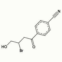 N#Cc1ccc(C(=O)CC(Br)CO)cc1